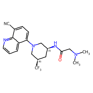 CN(C)CC(=O)N[C@H]1C[C@@H](C(F)(F)F)CN(c2ccc(C#N)c3ncccc23)C1